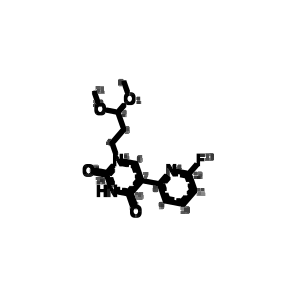 COC(CCn1cc(-c2cccc(F)n2)c(=O)[nH]c1=O)OC